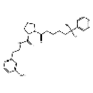 COc1cccc(CCNC(=O)[C@H]2CCCN2C(=O)CCCCC(C#N)(c2ccccc2)C(C)C)c1